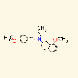 CCCN(CCc1ccc(OC)cc1)C1CCc2cccc(OC)c2C1